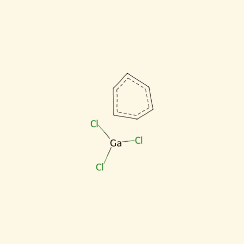 [Cl][Ga]([Cl])[Cl].c1ccccc1